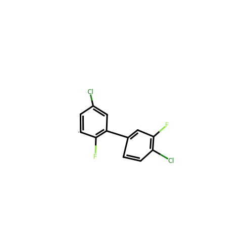 Fc1[c]cc(Cl)cc1-c1ccc(Cl)c(F)c1